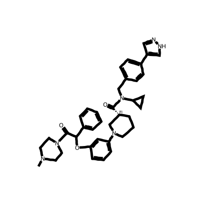 CN1CCN(C(=O)C(Oc2cccc(N3CCC[C@@H](C(=O)N(Cc4ccc(-c5cn[nH]c5)cc4)C4CC4)C3)c2)c2ccccc2)CC1